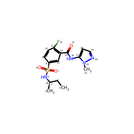 CC[C@@H](C)NS(=O)(=O)c1ccc(F)c(C(=O)Nc2ccnn2C)c1